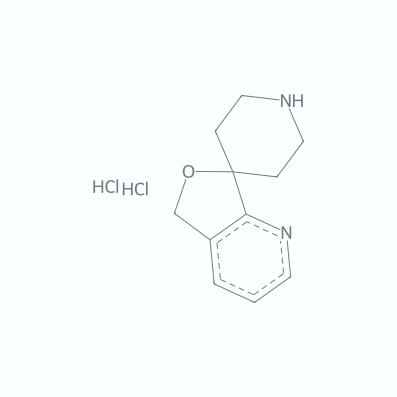 Cl.Cl.c1cnc2c(c1)COC21CCNCC1